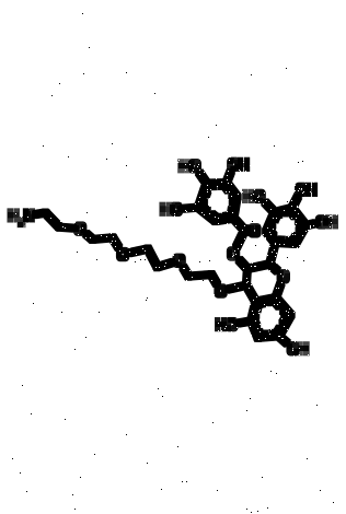 NCCOCCOCCOCCOC1c2c(O)cc(O)cc2OC(c2cc(O)c(O)c(O)c2)C1OC(=O)c1cc(O)c(O)c(O)c1